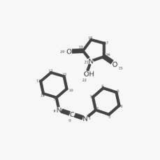 C(=NC1CCCCC1)=NC1CCCCC1.O=C1CCC(=O)N1O